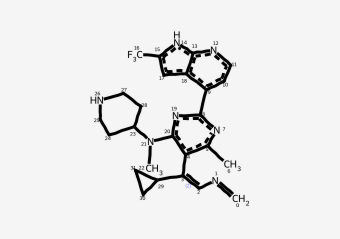 C=N/C=C(\c1c(C)nc(-c2ccnc3[nH]c(C(F)(F)F)cc23)nc1N(C)C1CCNCC1)C1CC1